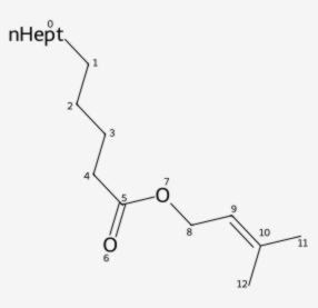 CCCCCCCCCCCC(=O)OCC=C(C)C